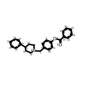 O=C(Oc1ccc(CN2CCC(c3ccccc3)CC2)cc1)c1ccccc1